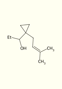 CCC(O)C1(CC=C(C)C)CC1